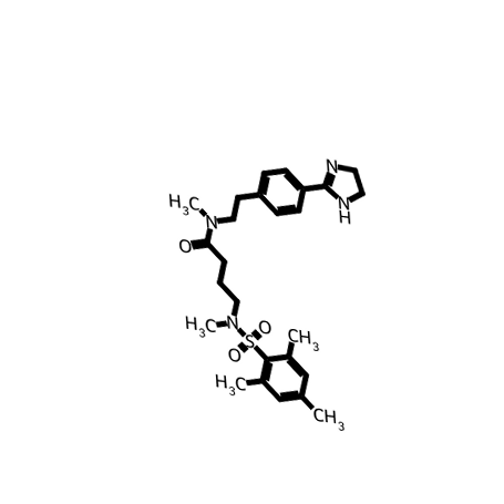 Cc1cc(C)c(S(=O)(=O)N(C)CCCC(=O)N(C)CCc2ccc(C3=NCCN3)cc2)c(C)c1